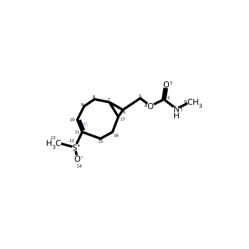 CNC(=O)OCC1C2CC/C=C(/[S+](C)[O-])CCC21